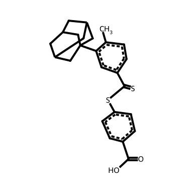 Cc1ccc(C(=S)Sc2ccc(C(=O)O)cc2)cc1C12CC3CC(CC(C3)C1)C2